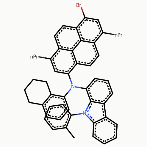 CCCc1cc(Br)c2ccc3c(CCC)cc(N(c4cccc5c4CCCC5)c4cccc5c6ccccc6n(-c6ccccc6C)c45)c4ccc1c2c34